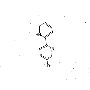 CCc1ccc(C2=CC=CCN2)nc1